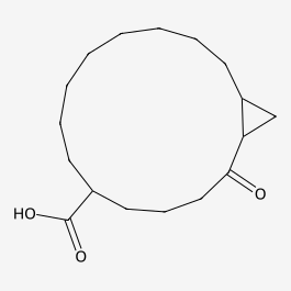 O=C(O)C1CCCCCCCCC2CC2C(=O)CCC1